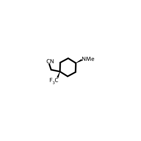 CN[C@H]1CC[C@@](CC#N)(C(F)(F)F)CC1